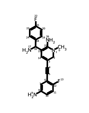 CN1CC(C#Cc2cc(N)ccc2F)=CC(C(N)c2ccc(F)cc2)=C1N